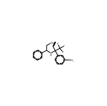 C=CC(NC(CO)c1ccccc1)(c1cccc(N)c1)C(F)(F)F